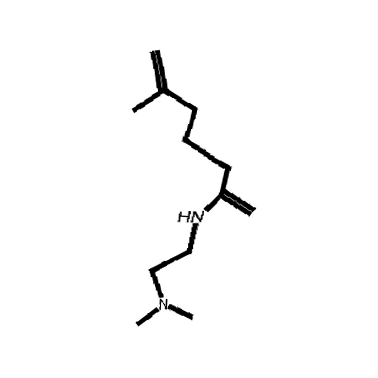 C=C(C)CCCC(=C)NCCN(C)C